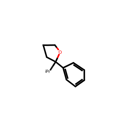 CC(C)C1(c2ccccc2)CCCO1